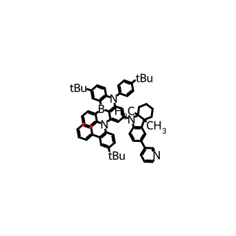 CC(C)(C)c1ccc(N2c3ccc(C(C)(C)C)cc3B3c4ccccc4N(c4ccc(C(C)(C)C)cc4-c4ccccc4)c4cc(N5c6ccc(-c7cccnc7)cc6C6(C)CCCCC56C)cc2c43)cc1